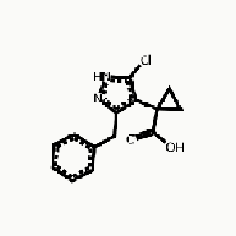 O=C(O)C1(c2c(Cc3ccccc3)n[nH]c2Cl)CC1